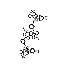 CCOC(=O)C1=C(OCc2cccc(CCN(C(=O)OC(C)(C)C)S(=O)(=O)c3ccc(Cl)cc3)c2)C(=O)C(Cc2cccc(CCN(C(=O)OC(C)(C)C)S(=O)(=O)c3ccc(Cl)cc3)c2)(C(=O)OCC)C1